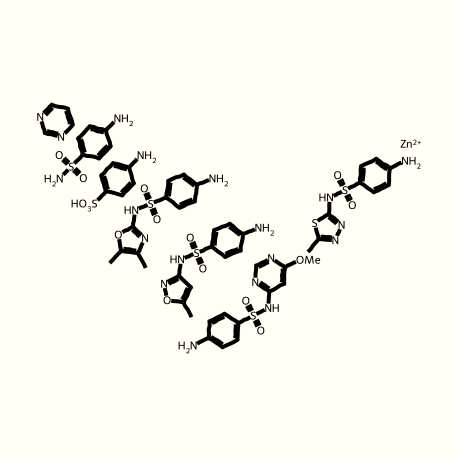 COc1cc(NS(=O)(=O)c2ccc(N)cc2)ncn1.Cc1cc(NS(=O)(=O)c2ccc(N)cc2)no1.Cc1nc(NS(=O)(=O)c2ccc(N)cc2)oc1C.Cc1nnc(NS(=O)(=O)c2ccc(N)cc2)s1.Nc1ccc(S(=O)(=O)O)cc1.Nc1ccc(S(N)(=O)=O)cc1.[Zn+2].c1cncnc1